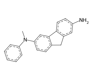 CN(c1ccccc1)c1ccc2c(c1)-c1ccc(N)cc1C2